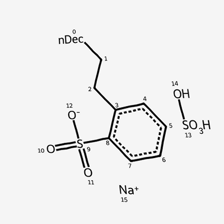 CCCCCCCCCCCCc1ccccc1S(=O)(=O)[O-].O=S(=O)(O)O.[Na+]